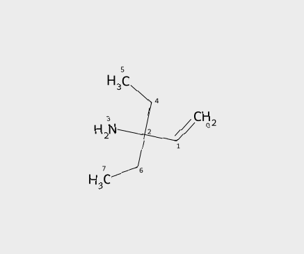 C=CC(N)(CC)CC